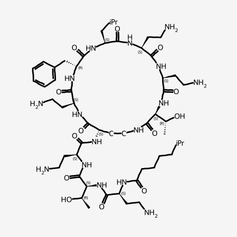 CC(C)CCCCC(=O)N[C@@H](CCN)C(=O)N[C@H](C(=O)N[C@@H](CCN)C(=O)N[C@H]1CCNC(=O)[C@H]([C@@H](C)O)NC(=O)[C@H](CCN)NC(=O)[C@H](CCN)NC(=O)[C@H](CC(C)C)NC(=O)[C@@H](Cc2ccccc2)NC(=O)[C@H](CCN)NC1=O)[C@@H](C)O